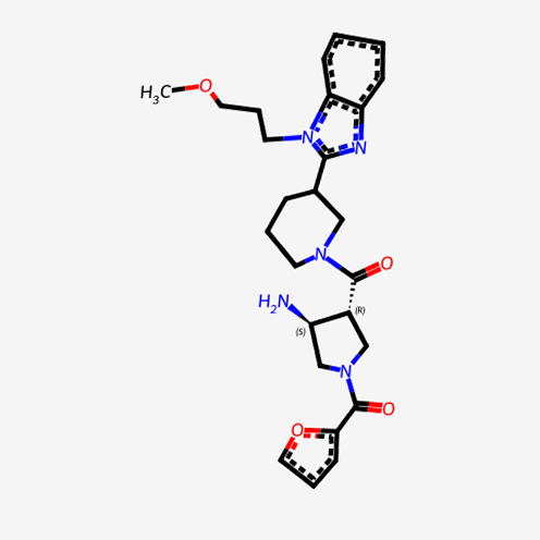 COCCCn1c(C2CCCN(C(=O)[C@@H]3CN(C(=O)c4ccco4)C[C@H]3N)C2)nc2ccccc21